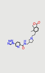 Cc1c(CCN2CCC(CNC(=O)c3ccc(-n4cnnn4)cn3)C2)ccc2c1COC2=O